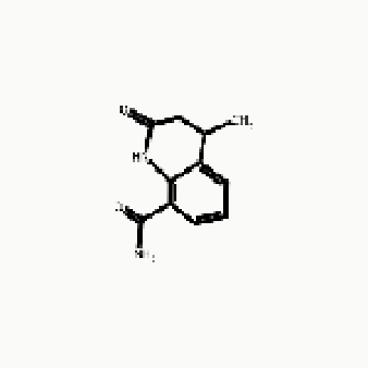 CC1CC(=O)Nc2c(C(N)=O)cccc21